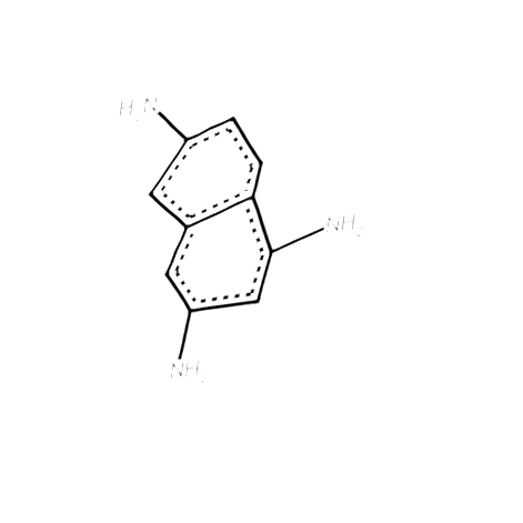 Nc1ccc2c(N)cc(N)cc2c1